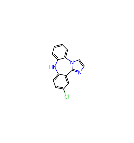 Clc1ccc2c(c1)-c1nccn1-c1ccccc1N2